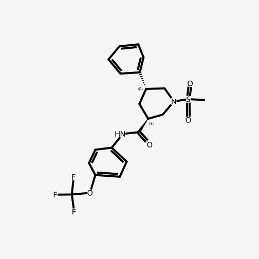 CS(=O)(=O)N1C[C@@H](C(=O)Nc2ccc(OC(F)(F)F)cc2)C[C@H](c2ccccc2)C1